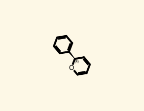 C1=CO[C@@H](c2ccccc2)C=C1